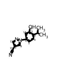 CC(C)c1ccc(-n2cc(C#N)cn2)cc1O